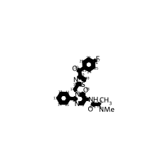 CN[C@@H](C)C(=O)Nc1cnc(-c2ccccc2)n(Cc2nc(C(=O)c3ccc(F)cc3)cs2)c1=O